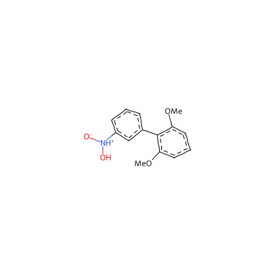 COc1cccc(OC)c1-c1cccc([NH+]([O-])O)c1